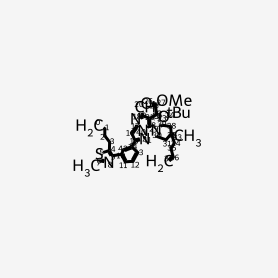 C=CCCc1sc(C)nc1-c1cccc(-c2cc3nc(C)c([C@H](OC(C)(C)C)C(=O)OC)c(N4CCC(C)(CCC=C)CC4)n3n2)c1